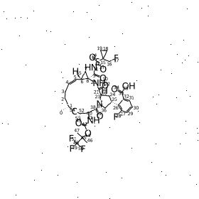 C[C@@H]1CC/C=C\[C@@H]2C[C@@]2(C(=O)NS(=O)(=O)C2(CF)CC2)NC(=O)[C@@H]2C[C@H](c3c(F)cccc3C(=O)O)CN2C(=O)[C@@H](NC(=O)OC(C)(C)C(F)(F)F)[C@H](C)C1